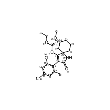 CCOC(=O)OC1=C(c2c(C)cc(Cl)cc2Cl)C(=O)NC12CCCC(OC)C2